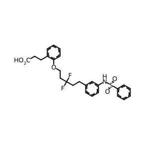 O=C(O)CCc1ccccc1OCCC(F)(F)CCc1cccc(NS(=O)(=O)c2ccccc2)c1